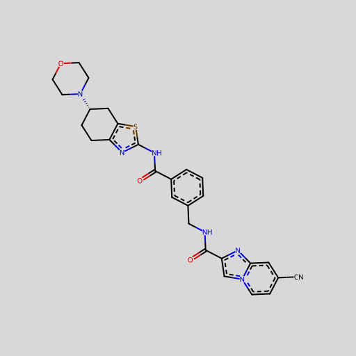 N#Cc1ccn2cc(C(=O)NCc3cccc(C(=O)Nc4nc5c(s4)C[C@@H](N4CCOCC4)CC5)c3)nc2c1